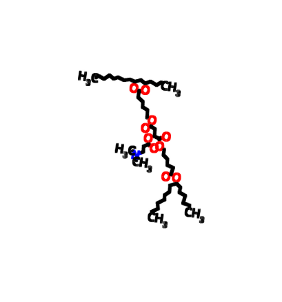 CCCCCCCCC(CCCCCC)OC(=O)CCCCCOC(=O)CC(OC(=O)CCN(C)C)C(=O)OCCCCCC(=O)OC(CCCCCC)CCCCCCCC